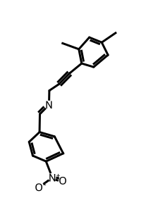 Cc1ccc(C#CCN=Cc2ccc([N+](=O)[O-])cc2)c(C)c1